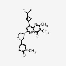 Cc1nc2c(C34CC(C(F)F)(C3)C4)cc([C@@H]3CCO[C@H](c4ccc(=O)n(C)c4)C3)nn2c(=O)c1C